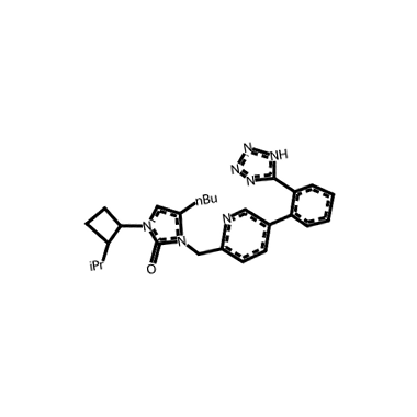 CCCCc1cn(C2CCC2C(C)C)c(=O)n1Cc1ccc(-c2ccccc2-c2nnn[nH]2)cn1